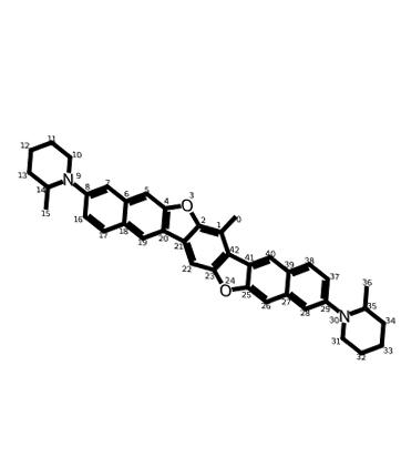 Cc1c2oc3cc4cc(N5CCCCC5C)ccc4cc3c2cc2oc3cc4cc(N5CCCCC5C)ccc4cc3c12